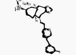 CCOC(=O)N[C@@H]1CC[C@@H]2[C@H](Cc3ncsc3[C@H]2/C=C/c2ccc(-c3cccc(F)c3)cn2)C1